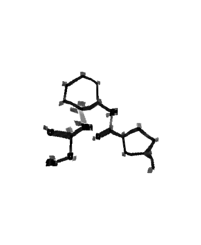 CC1CCC(C(=O)NC2CCCC[C@H]2NC(=O)OC(C)(C)C)C1